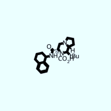 CC(C)(C)C1[C@H]2CCCN2C[C@@H](C(=O)NC2CCCc3ccccc32)N1C(=O)O